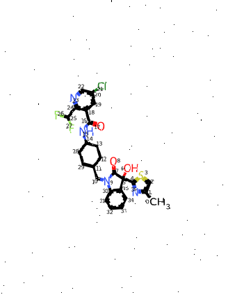 Cc1csc(C2(O)C(=O)N(CC3CCC(NC(=O)c4cc(Cl)cnc4C(F)F)CC3)c3ccccc32)n1